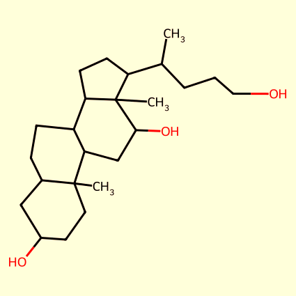 CC(CCCO)C1CCC2C3CCC4CC(O)CCC4(C)C3CC(O)C12C